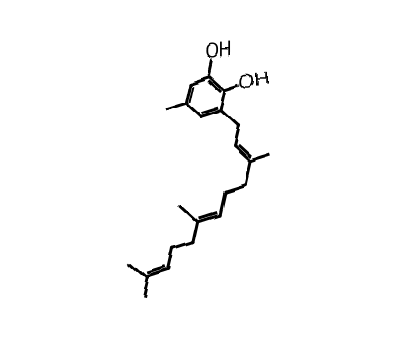 CC(C)=CCC/C(C)=C/CC/C(C)=C/Cc1cc(C)cc(O)c1O